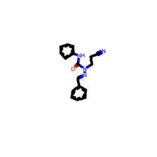 N#CCCN(/N=C/c1ccccc1)C(=O)Nc1ccccc1